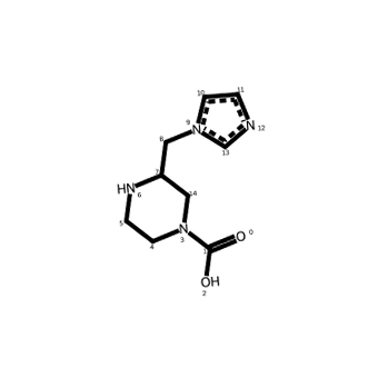 O=C(O)N1CCNC(Cn2ccnc2)C1